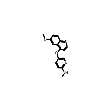 CNc1ccc(Oc2ccnc3ccc(OC)cc23)cn1